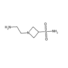 NCCN1CC(S(N)(=O)=O)C1